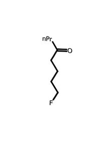 CCCC(=O)CCCCF